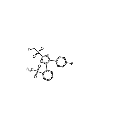 CS(=O)(=O)c1ccccc1-c1nc(S(=O)(=O)CF)sc1-c1ccc(F)cc1